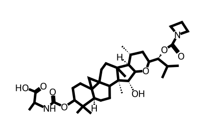 CC(NC(=O)OC1CCC23CC24CCC2(C)[C@@H]5C(OC([C@H](OC(=O)N6CCC6)C(C)C)C[C@H]5C)[C@H](O)[C@@]2(C)C4CC[C@H]3C1(C)C)C(=O)O